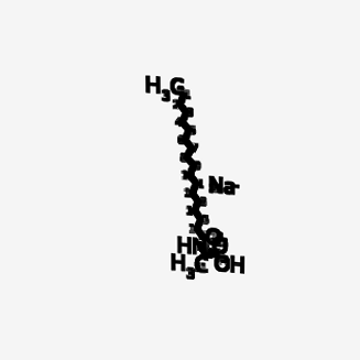 CCCCCCCCCCCCCCCCCC(=O)NC(C)C(=O)O.[Na]